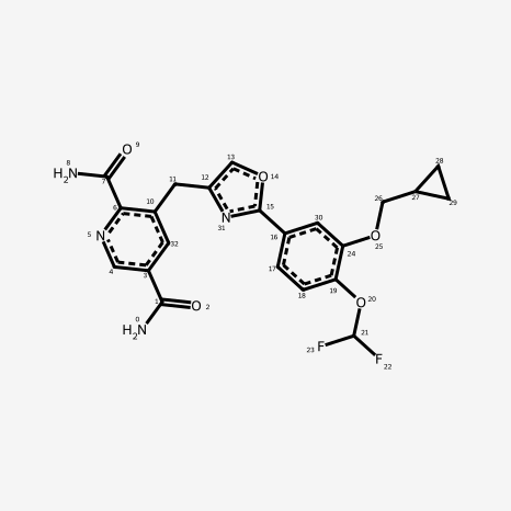 NC(=O)c1cnc(C(N)=O)c(Cc2coc(-c3ccc(OC(F)F)c(OCC4CC4)c3)n2)c1